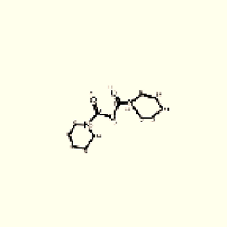 O=C(OC(=O)N1CCCCC1)N1CCCCC1